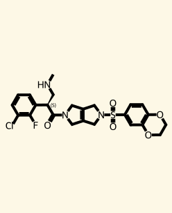 CNC[C@@H](C(=O)N1CC2=C(C1)CN(S(=O)(=O)c1ccc3c(c1)OCCO3)C2)c1cccc(Cl)c1F